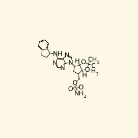 CC1(C)O[C@@H]2[C@@H](COS(N)(=O)=O)C[C@@H](n3cnc4c(N[C@H]5CCc6ccccc65)ncnc43)[C@@H]2O1